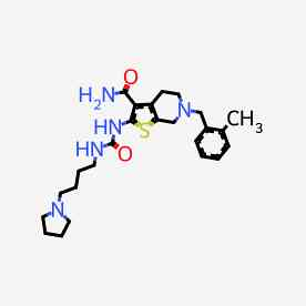 Cc1ccccc1CN1CCc2c(sc(NC(=O)NCCCCN3CCCC3)c2C(N)=O)C1